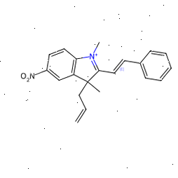 C=CCC1(C)C(/C=C/c2ccccc2)=[N+](C)c2ccc([N+](=O)[O-])cc21